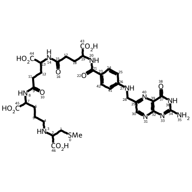 CSCC(NCCCC(NC(=O)CCC(NC(=O)CCC(NC(=O)c1ccc(NCc2cnc3nc(N)[nH]c(=O)c3n2)cc1)C(=O)O)C(=O)O)C(=O)O)C(=O)O